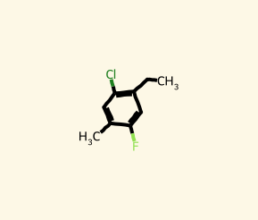 CCc1cc(F)c(C)cc1Cl